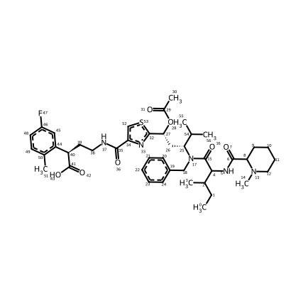 CCC(C)C(NC(=O)C1CCCCN1C)C(=O)N(Cc1ccccc1)[C@H](C[C@@H](OC(C)=O)c1nc(C(=O)NCC[C@@H](C(=O)O)c2cc(F)ccc2C)cs1)C(C)C